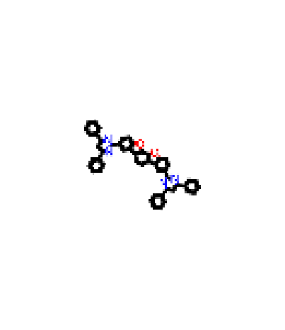 c1ccc(-c2cc(-c3ccccc3)nc(-c3ccc4oc5c(ccc6c7cc(-c8nc(-c9ccccc9)cc(-c9ccccc9)n8)ccc7oc65)c4c3)n2)cc1